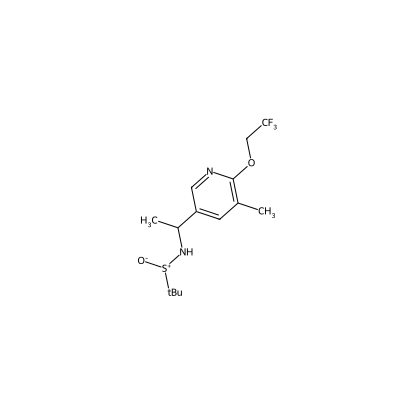 Cc1cc(C(C)N[S+]([O-])C(C)(C)C)cnc1OCC(F)(F)F